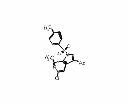 CC(=O)c1cn(S(=O)(=O)c2ccc(C)cc2)c2c(C)nc(Cl)cc12